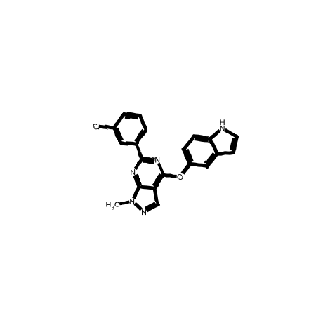 Cn1ncc2c(Oc3ccc4[nH]ccc4c3)nc(-c3cccc(Cl)c3)nc21